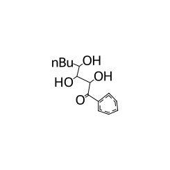 CCCCC(O)C(O)C(O)C(=O)c1ccccc1